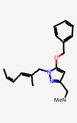 C/C=C\C=C(/C)Cn1nc(CNC)cc1OCc1ccccc1